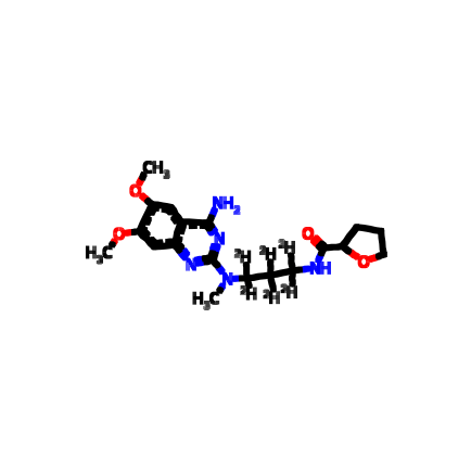 [2H]C([2H])(NC(=O)C1CCCO1)C([2H])([2H])C([2H])([2H])N(C)c1nc(N)c2cc(OC)c(OC)cc2n1